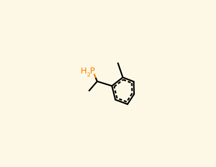 Cc1ccccc1C(C)P